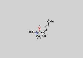 COC=CC=C(C#N)C(=O)N(C)C